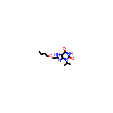 CCCCOCc1nc2c([nH]1)c(=O)[nH]c(=O)n2C(C)C